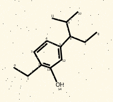 CCc1ccc(C(CC)C(C)C)cc1O